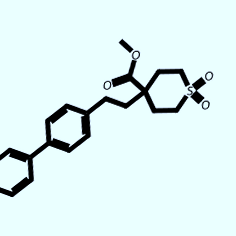 COC(=O)C1(CCc2ccc(-c3ccccc3)cc2)CCS(=O)(=O)CC1